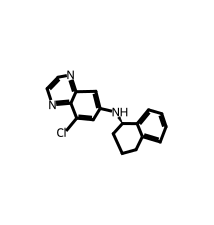 Clc1cc(N[C@@H]2CCCc3ccccc32)cc2nccnc12